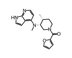 C[C@@H]1CCN(C(=O)c2ccco2)C[C@@H]1N(C)c1ccnc2[nH]ccc12